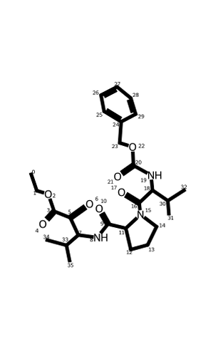 CCOC(=O)C(=O)C(NC(=O)C1CCCN1C(=O)C(NC(=O)OCc1ccccc1)C(C)C)C(C)C